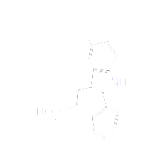 O=C(O)CCc1c(-c2ccccc2)[nH]c2ccc(F)cc12